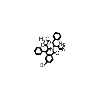 COC(=O)c1c(-c2ccccc2)c2cc(Br)ccc2c(=O)n1C(Cc1ccccc1)c1cnsn1